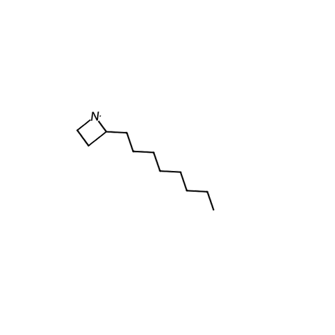 CCCCCCCCC1CC[N]1